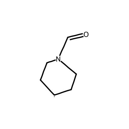 O=CN1CC[CH]CC1